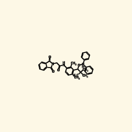 Cc1ccc(NC(=O)CN2C(=O)c3ccccc3C2=O)c(C)c1C(O[SiH](c1ccccc1)c1ccccc1)C(C)(C)C